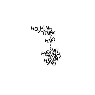 CC(=O)C(CCC(=O)NCCCCC(N)C(=O)N[C@@H](CO)C(=O)N[C@@H](Cc1ccccc1)C(N)=O)N[C@@H](CCC(=O)O)C(N)=O